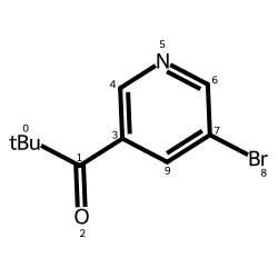 CC(C)(C)C(=O)c1cncc(Br)c1